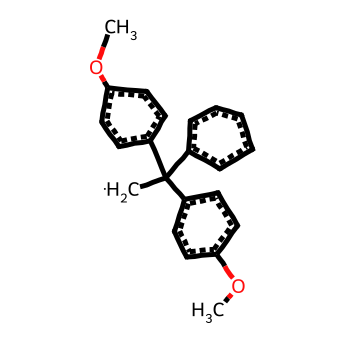 [CH2]C(c1ccccc1)(c1ccc(OC)cc1)c1ccc(OC)cc1